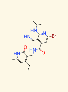 CCc1cc(C)[nH]c(=O)c1CNC(=O)c1cc(Br)nc(NC(C)C)c1C=N